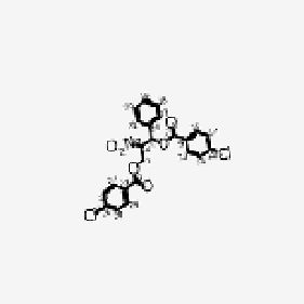 O=C(OCC(C(OC(=O)c1ccc(Cl)cc1)c1ccccc1)[N+](=O)[O-])c1ccc(Cl)cc1